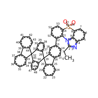 CCc1nc2cccc3c2n1-c1c(-c2ccc4c(c2)C2(c5ccccc5-4)c4ccccc4C4(c5ccccc5-c5ccccc54)c4ccccc42)cccc1S3(=O)=O